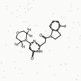 [2H]C1([2H])COCC([2H])([2H])N1c1cc(=O)[nH]c(CC(=O)N2CCc3c(F)cccc32)n1